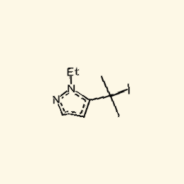 CCn1nccc1C(C)(C)I